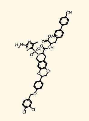 COC(=O)C(Cc1ccc(-c2ccc(C#N)cc2)cc1)NC(=O)C1Cc2cc3c(cc2CN1S(=O)(=O)c1sc(N)nc1C)OC(c1ccc(OCc2ccc(Cl)c(Cl)c2)cc1)CO3